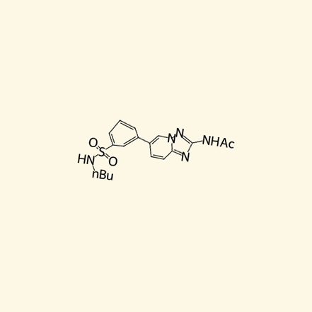 CCCCNS(=O)(=O)c1cccc(-c2ccc3nc(NC(C)=O)nn3c2)c1